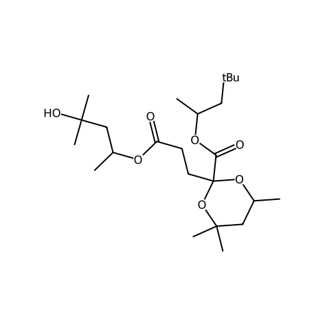 CC(CC(C)(C)O)OC(=O)CCC1(C(=O)OC(C)CC(C)(C)C)OC(C)CC(C)(C)O1